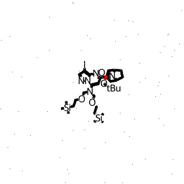 CC(C)(C)OC(=O)N1C2C=C(c3cc(N(COCC[Si](C)(C)C)COCC[Si](C)(C)C)n4ncc(I)c4n3)CC1CC2